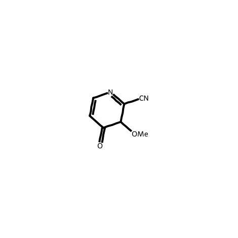 COC1C(=O)C=CN=C1C#N